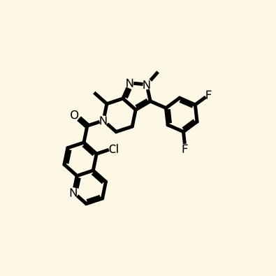 CC1c2nn(C)c(-c3cc(F)cc(F)c3)c2CCN1C(=O)c1ccc2ncccc2c1Cl